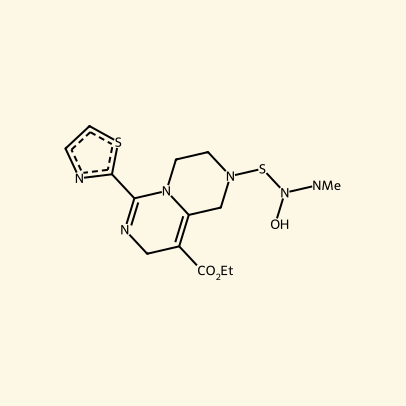 CCOC(=O)C1=C2CN(SN(O)NC)CCN2C(c2nccs2)=NC1